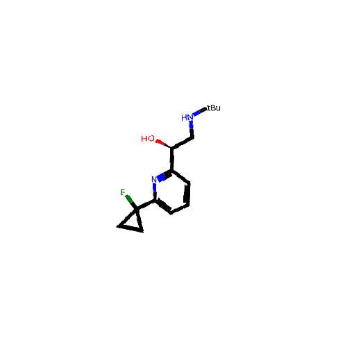 CC(C)(C)NC[C@H](O)c1cccc(C2(F)CC2)n1